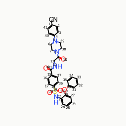 N#Cc1ccc(N2CCN(C(=O)CNC(=O)c3ccc(S(=O)(=O)Nc4ccccc4Oc4ccccc4)cc3)CC2)cc1